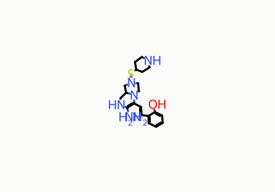 NC1=C(/C=C(\N)c2ccccc2O)N2CCN(SC3CCNCC3)CC2CN1